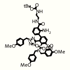 COc1ccc(CN(Cc2ccc(OC)cc2)S(=O)(=O)c2c(S(=O)O)ccc(-c3cccc(C(=O)NCCNC(=O)OC(C)(C)C)c3N)c2-c2nnn(Cc3ccc(OC)cc3)n2)cc1